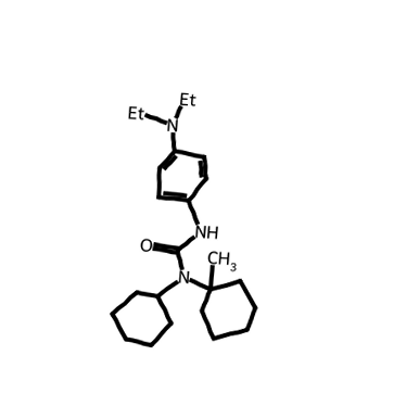 CCN(CC)c1ccc(NC(=O)N(C2CCCCC2)C2(C)CCCCC2)cc1